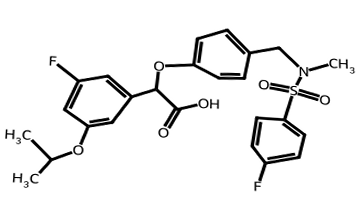 CC(C)Oc1cc(F)cc(C(Oc2ccc(CN(C)S(=O)(=O)c3ccc(F)cc3)cc2)C(=O)O)c1